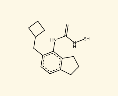 C=C(NS)Nc1c(CC2CCC2)ccc2c1CCC2